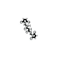 O=C(CC(=O)NCN1C(=O)C=CC1=O)NCN1C(=O)C=CC1=O